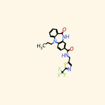 CCCN1c2ccc(C(=O)NCc3cnc(C(F)(F)F)s3)cc2NC(=O)c2ccccc21